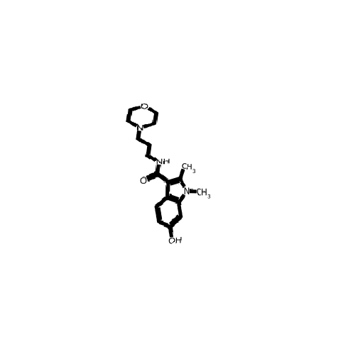 Cc1c(C(=O)NCCCN2CCOCC2)c2ccc(O)cc2n1C